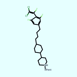 CCCCC[SiH]1CCC(C2CCC(CCCCc3cc(F)c(C(F)=C(Cl)Cl)c(F)c3)CC2)CC1